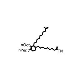 C=C(C)CCCCCCCCC1=C(CCCCCCCCC(=C)C#N)CCC(CCCCC)=C1CCCCCCCC